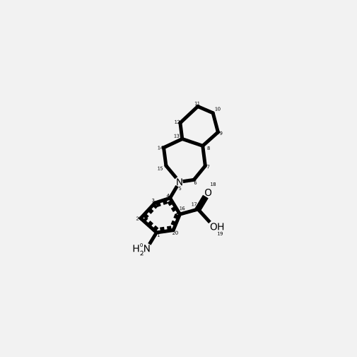 Nc1ccc(N2CCC3CCCCC3CC2)c(C(=O)O)c1